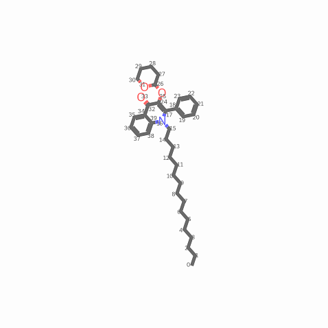 CCCCCCCCCCCCCCCCn1c(-c2ccccc2)c(OC2CCCCO2)c(=O)c2ccccc21